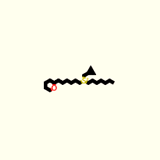 CCCCCCC[S+](CCCCCCC1CCCCO1)CC1CC1